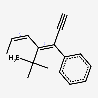 BC(C)(C)C(/C=C\C)=C(/C#C)c1ccccc1